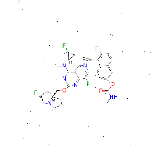 C#Cc1c(F)ccc2cc(OC(=O)NC)cc(-c3ncc4c(N(C)[C@H]5C[C@@H]5F)nc(OC[C@@]56CCCN5C[C@H](F)C6)nc4c3F)c12